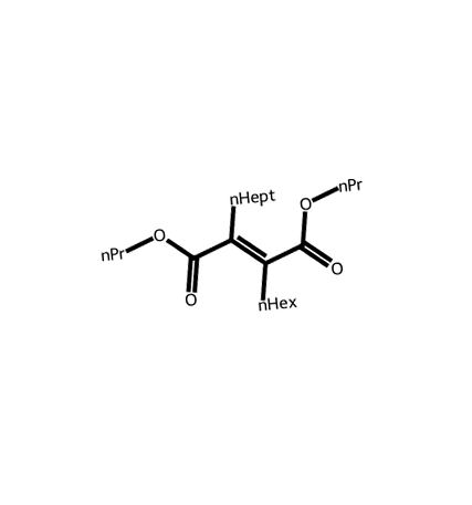 CCCCCCCC(C(=O)OCCC)=C(CCCCCC)C(=O)OCCC